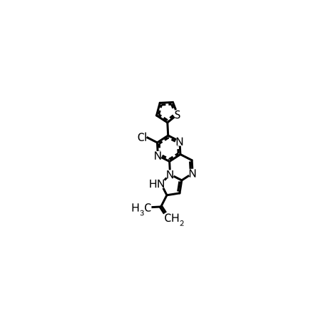 C=C(C)C1C=C2N=Cc3nc(-c4cccs4)c(Cl)nc3N2N1